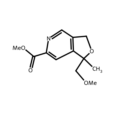 COCC1(C)OCc2cnc(C(=O)OC)cc21